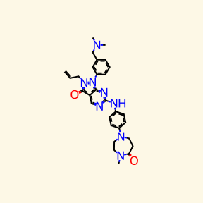 C=CCn1c(=O)c2cnc(Nc3ccc(N4CCC(=O)N(C)CC4)cc3)nc2n1-c1cccc(CN(C)C)c1